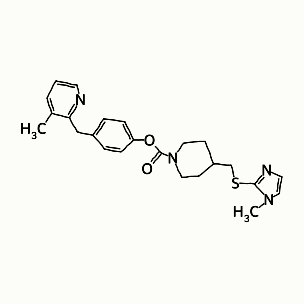 Cc1cccnc1Cc1ccc(OC(=O)N2CCC(CSc3nccn3C)CC2)cc1